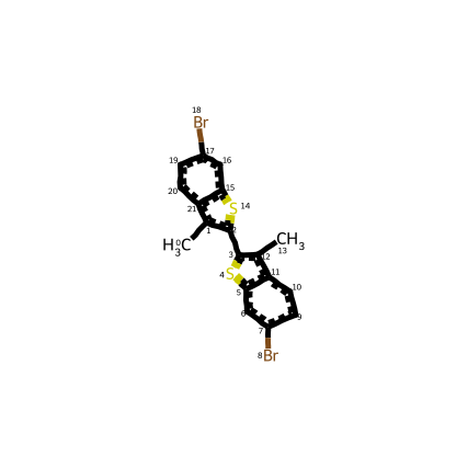 Cc1c(-c2sc3cc(Br)ccc3c2C)sc2cc(Br)ccc12